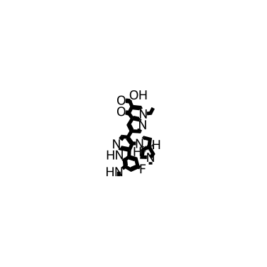 CCn1cc(C(=O)O)c(=O)c2cc(-c3cnc4[nH]c5c(NC)cc(F)cc5c4c3N3CC[C@H]4CN(C)C[C@H]43)cnc21